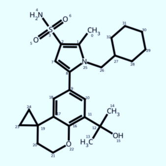 Cc1c(S(N)(=O)=O)cc(-c2cc(C(C)(C)O)c3c(c2)C2(CCO3)CC2)n1CC1CCCCC1